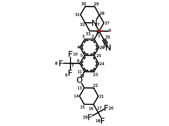 CC(c1ccc2c(C(F)(F)F)c(OC3CCC(C(F)(F)F)CC3)ccc2c1)N1C2CCCC1CC(C#N)C2